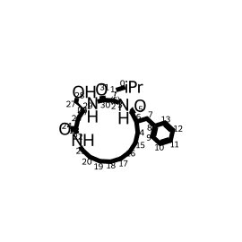 CC(C)C[C@@H]1NC(=O)C(Cc2ccccc2)CCCCCCCCNC(=O)C[C@@H](CO)NC1=O